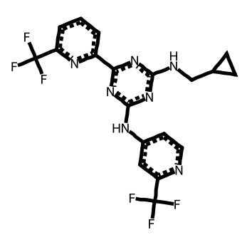 FC(F)(F)c1cc(Nc2nc(NCC3CC3)nc(-c3cccc(C(F)(F)F)n3)n2)ccn1